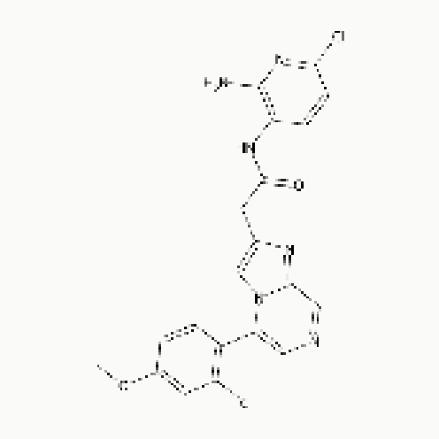 COc1ccc(-c2cncc3nc(CC(=O)Nc4ccc(Cl)nc4N)cn23)c(Cl)c1